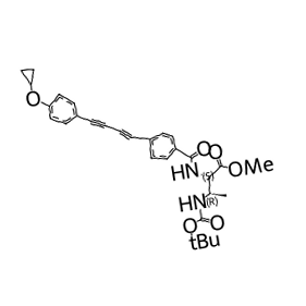 COC(=O)[C@@H](NC(=O)c1ccc(C#CC#Cc2ccc(OC3CC3)cc2)cc1)[C@@H](C)NC(=O)OC(C)(C)C